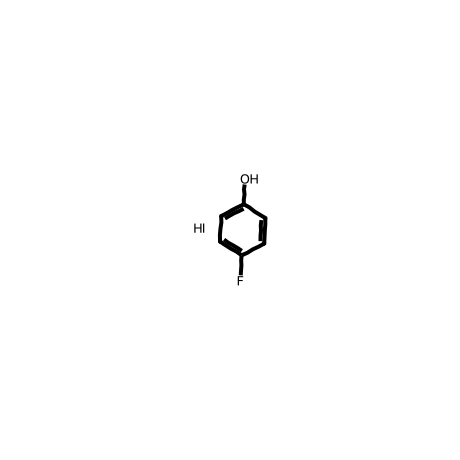 I.Oc1ccc(F)cc1